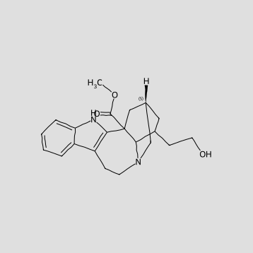 COC(=O)C12C[C@@H]3CC(CCO)C1N(CCc1c2[nH]c2ccccc12)C3